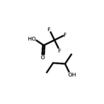 CCC(C)O.O=C(O)C(F)(F)F